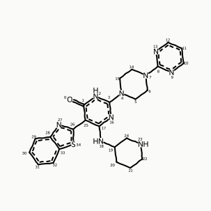 O=c1[nH]c(N2CCN(c3ncccn3)CC2)nc(NC2CCCNC2)c1-c1nc2ccccc2s1